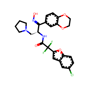 O=C(N[C@H](CN1CCCC1)/C(=N/O)c1ccc2c(c1)OCCO2)C(F)(F)c1cc2cc(Cl)ccc2o1